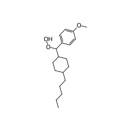 CCCCCC1CCC(C(OO)c2ccc(OC)cc2)CC1